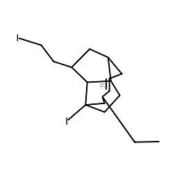 CCC1/C=C\CC2CC(CCI)C3C2CCC3(I)C1